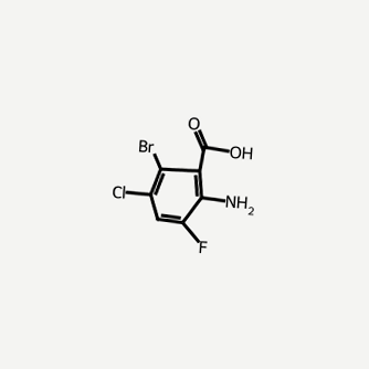 Nc1c(F)cc(Cl)c(Br)c1C(=O)O